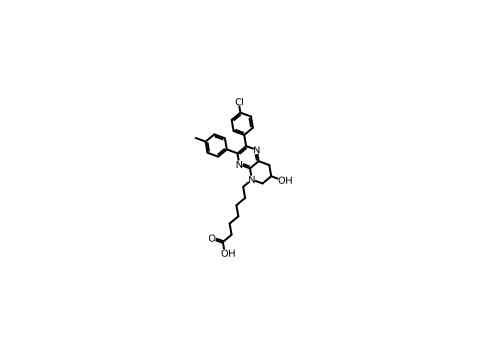 Cc1ccc(-c2nc3c(nc2-c2ccc(Cl)cc2)CC(O)CN3CCCCCCC(=O)O)cc1